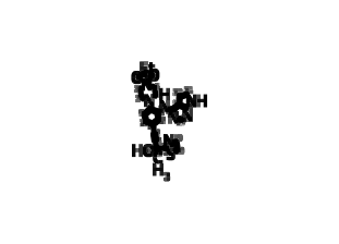 CCS(=O)(=O)N1CCN(c2ccc(C#CC(C)(O)c3nccs3)cc2Nc2ncnc3[nH]ccc23)CC1